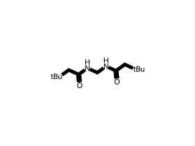 CC(C)(C)CC(=O)NCNC(=O)CC(C)(C)C